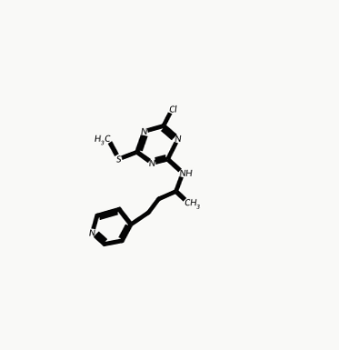 CSc1nc(Cl)nc(NC(C)CCc2ccncc2)n1